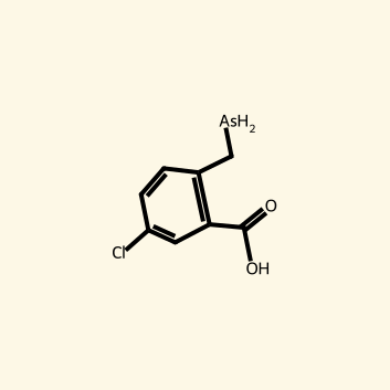 O=C(O)c1cc(Cl)ccc1C[AsH2]